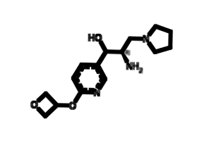 N[C@H](CN1CCCC1)C(O)c1ccc(OC2COC2)nc1